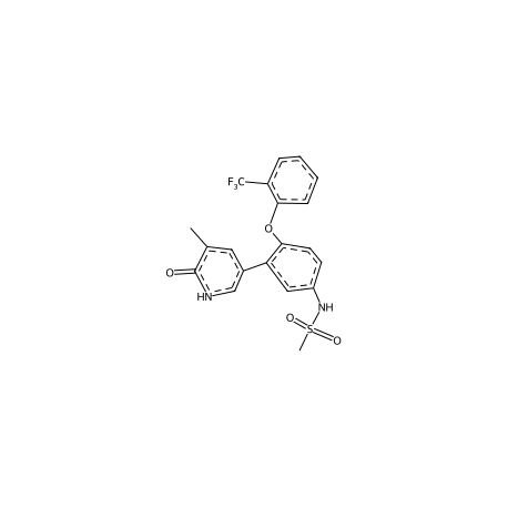 Cc1cc(-c2cc(NS(C)(=O)=O)ccc2Oc2ccccc2C(F)(F)F)c[nH]c1=O